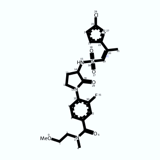 COCCN(C)C(=O)c1ccc(N2CCC(NS(=O)(=O)/C=C(/C)c3ccc(Cl)s3)C2=O)c(F)c1